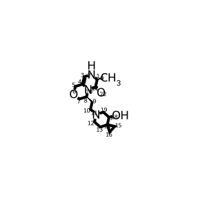 C[C@@H]1NC=C2COC[C@H](CCN3CCC4(CC4)C(O)C3)N2C1=O